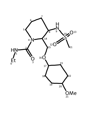 CCNC(=O)N1CCCC(NS(C)(=O)=O)C1COC1CCC(OC)CC1